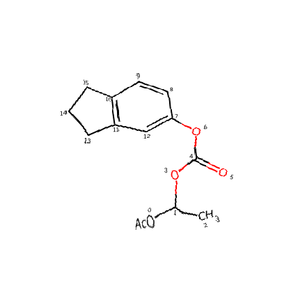 CC(=O)OC(C)OC(=O)Oc1ccc2c(c1)CCC2